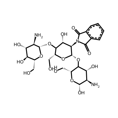 N[C@H]1[C@H](OC2[C@@H](CO)O[C@@H](OC3[C@@H](CO)O[C@@H](O)[C@H](N)[C@H]3O)[C@H](N3C(=O)c4ccccc4C3=O)[C@H]2O)O[C@H](CO)[C@@H](O)[C@@H]1O